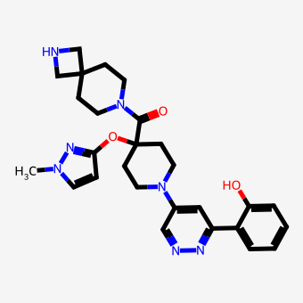 Cn1ccc(OC2(C(=O)N3CCC4(CC3)CNC4)CCN(c3cnnc(-c4ccccc4O)c3)CC2)n1